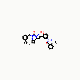 Cc1cccc(CNC(=O)n2nc(-c3cc(NC(=O)c4ccccc4C)ccc3O)cc2C2CCC2)c1